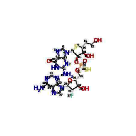 Nc1nc2c(ncn2[C@@H]2S[C@H](CCO)[C@@H](O)[C@H]2OP(=O)(S)OC[C@H]2O[C@@H](n3cnc4c(N)ncnc43)[C@@H](F)[C@@H]2O)c(=O)[nH]1